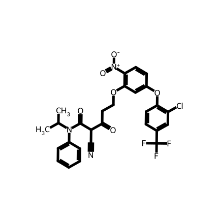 CC(C)N(C(=O)C(C#N)C(=O)CCOc1cc(Oc2ccc(C(F)(F)F)cc2Cl)ccc1[N+](=O)[O-])c1ccccc1